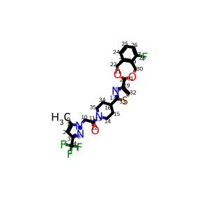 Cc1cc(C(F)(F)F)nn1CC(=O)N1CCC(c2nc(C3OCc4[c]ccc(F)c4CO3)cs2)CC1